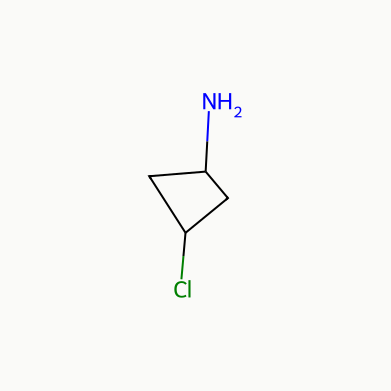 NC1CC(Cl)C1